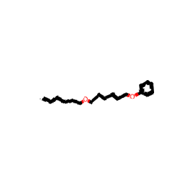 [CH2]CCCCCOCCCCCCOc1ccccc1